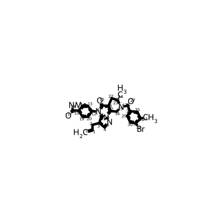 C=CCc1cnn2c3c(c(=O)n(-c4ccc(C(=O)NC)cc4)c12)C[C@H](C)N(C(=O)c1ccc(Br)c(C)c1)C3